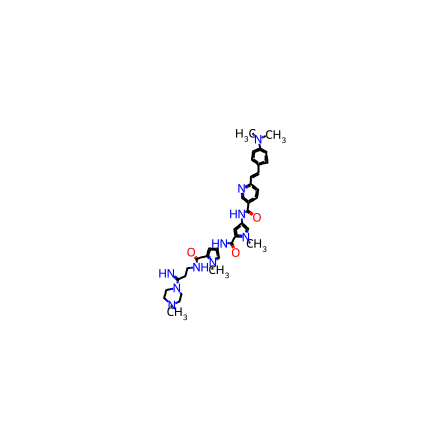 CN1CCN(C(=N)CCNC(=O)c2cc(NC(=O)c3cc(NC(=O)c4ccc(/C=C/c5ccc(N(C)C)cc5)nc4)cn3C)cn2C)CC1